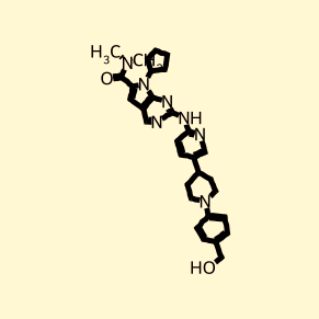 CN(C)C(=O)c1cc2cnc(Nc3ccc(C4CCN(c5ccc(CO)cc5)CC4)cn3)nc2n1C1CCCC1